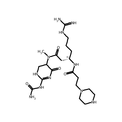 CN(C(=O)C[C@H](CCCNC(=N)N)NC(=O)CCN1CCNCC1)C1CNC(NC(N)=O)=NC1=O